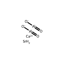 [Ca+2].[O]=[Al][O-].[O]=[Al][O-].[SrH2]